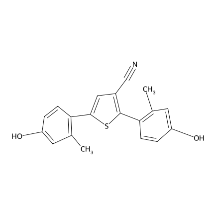 Cc1cc(O)ccc1-c1cc(C#N)c(-c2ccc(O)cc2C)s1